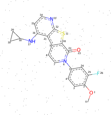 COc1ccc(-n2ccc3c(sc4nccc(NC5CC5)c43)c2=O)cc1F